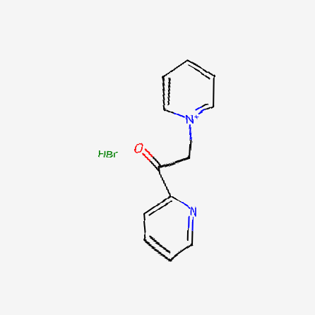 Br.O=C(C[n+]1ccccc1)c1ccccn1